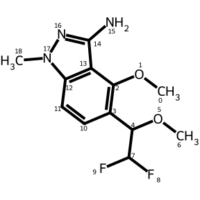 COc1c(C(OC)C(F)F)ccc2c1c(N)nn2C